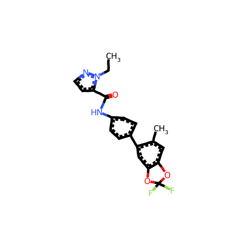 CCn1nccc1C(=O)Nc1ccc(-c2cc3c(cc2C)OC(F)(F)O3)cc1